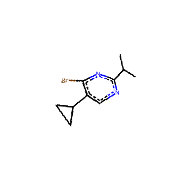 CC(C)c1ncc(C2CC2)c(Br)n1